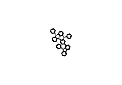 c1ccc(N2c3ccccc3B3c4ccc(-c5cccc6c7ccccc7n(-c7ccccc7)c56)cc4N(c4ccccc4)c4cccc2c43)cc1